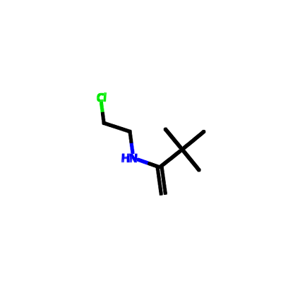 C=C(NCCCl)C(C)(C)C